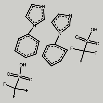 O=S(=O)(O)C(F)(F)F.O=S(=O)(O)C(F)(F)F.c1ccc(-n2ccnc2)cc1.c1ccc(-n2ccnc2)cc1